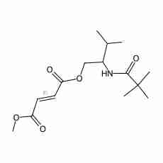 COC(=O)/C=C/C(=O)OCC(NC(=O)C(C)(C)C)C(C)C